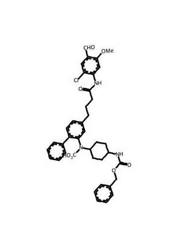 COc1cc(NC(=O)CCCc2ccc(-c3ccccc3)c(N(C(=O)O)C3CCC(NC(=O)OCc4ccccc4)CC3)c2)c(Cl)cc1C=O